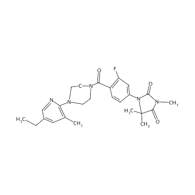 CCc1cnc(N2CCN(C(=O)c3ccc(N4C(=O)N(C)C(=O)C4(C)C)cc3F)CC2)c(C)c1